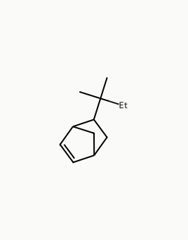 CCC(C)(C)C1CC2C=CC1C2